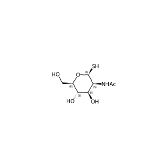 CC(=O)N[C@H]1[C@@H](O)[C@H](O)[C@@H](CO)O[C@H]1S